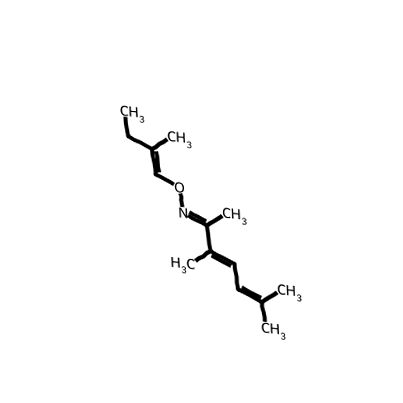 CC/C(C)=C/O/N=C(C)/C(C)=C/C=C(C)C